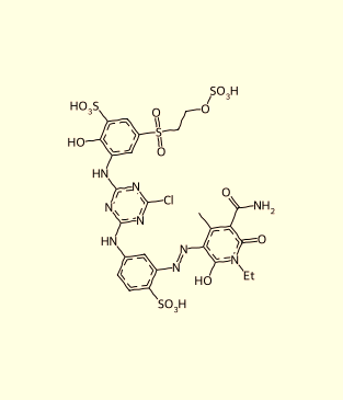 CCn1c(O)c(/N=N/c2cc(Nc3nc(Cl)nc(Nc4cc(S(=O)(=O)CCOS(=O)(=O)O)cc(S(=O)(=O)O)c4O)n3)ccc2S(=O)(=O)O)c(C)c(C(N)=O)c1=O